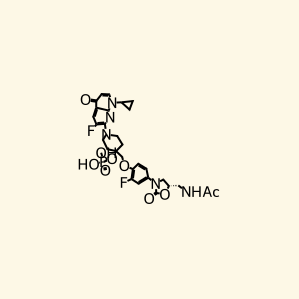 CC(=O)NC[C@H]1CN(c2ccc(OCC3(OP(=O)(O)O)CCN(c4nc5c(cc4F)c(=O)ccn5C4CC4)CC3)c(F)c2)C(=O)O1